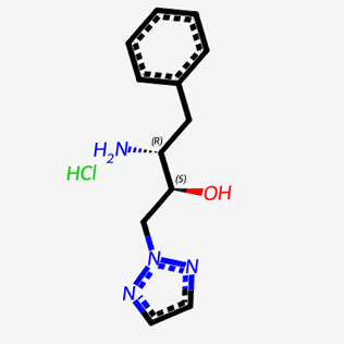 Cl.N[C@H](Cc1ccccc1)[C@@H](O)Cn1nccn1